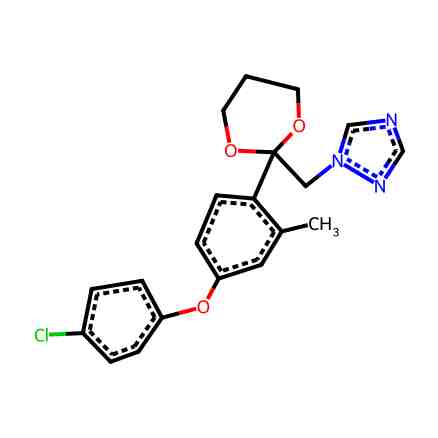 Cc1cc(Oc2ccc(Cl)cc2)ccc1C1(Cn2cncn2)OCCCO1